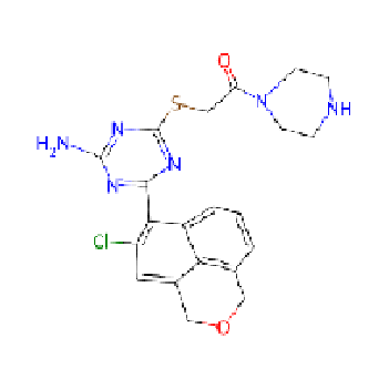 Nc1nc(SCC(=O)N2CCNCC2)nc(-c2c(Cl)cc3c4c(cccc24)COC3)n1